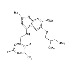 COCC(COc1cc2c(NCc3cc(F)cc(C(F)(F)F)c3F)nc(C)nc2cc1OC)OC